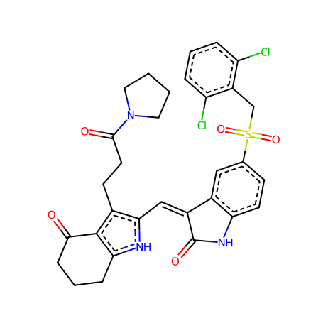 O=C1Nc2ccc(S(=O)(=O)Cc3c(Cl)cccc3Cl)cc2C1=Cc1[nH]c2c(c1CCC(=O)N1CCCC1)C(=O)CCC2